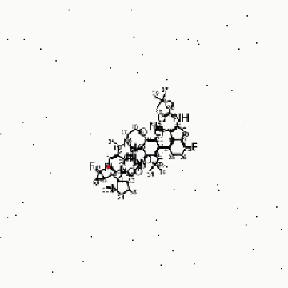 C[C@H](c1cccnc1NC(=O)OC(C)(C)C)N1CCOc2c(Cl)c(-c3ccc(F)c4sc(NC(=O)OC(C)(C)C)c(C#N)c34)c(F)c3nc(OC[C@@]45CCCN4C[C@@]4(CC4(F)F)C5)nc1c23